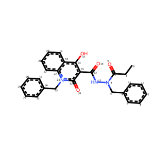 CCC(=O)N(Cc1ccccc1)NC(=O)c1c(O)c2ccccc2n(Cc2ccccc2)c1=O